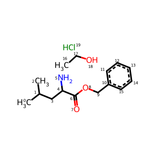 CC(C)CC(N)C(=O)OCc1ccccc1.CCO.Cl